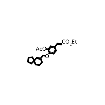 CCOC(=O)C=Cc1ccc(OCC2=CC3(CCCC3)CCC2)c(OC(C)=O)c1